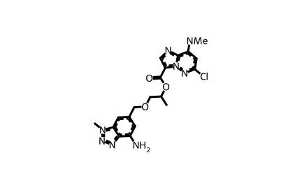 CNc1cc(Cl)nn2c(C(=O)OC(C)COCc3cc(N)c4nnn(C)c4c3)cnc12